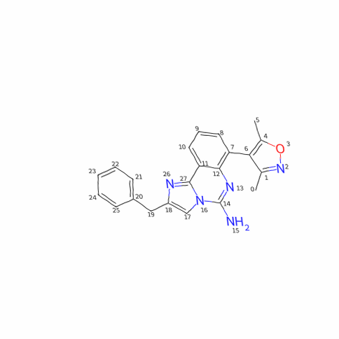 Cc1noc(C)c1-c1cccc2c1nc(N)n1cc(Cc3ccccc3)nc21